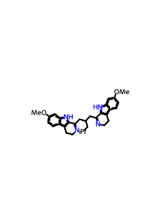 COc1ccc2c3c([nH]c2c1)C(CC(CC1=NCCc2c1[nH]c1cc(OC)ccc21)CC(C)C)=NCC3